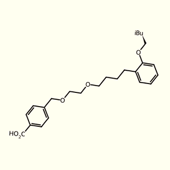 CC[C@H](C)COc1ccccc1CCCCOCCOCc1ccc(C(=O)O)cc1